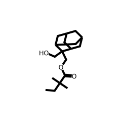 CCC(C)(C)C(=O)OCC1(CO)C2CC3CC(C2)CC1C3